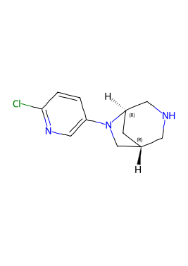 Clc1ccc(N2C[C@H]3CNC[C@H]2C3)cn1